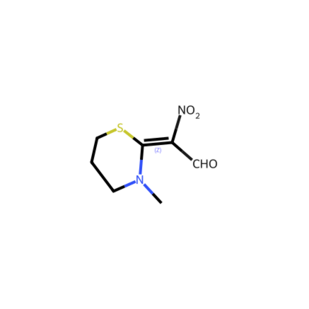 CN1CCCS/C1=C(/C=O)[N+](=O)[O-]